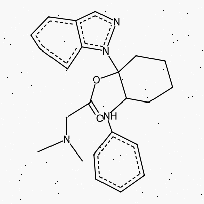 CN(C)CC(=O)OC1(n2ncc3ccccc32)CCCCC1Nc1ccccc1